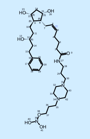 O=C(CCC/C=C\C[C@@H]1[C@@H](CC[C@@H](O)CCc2ccccc2)[C@H](O)C[C@@H]1O)NCCCN1CCN(CCCON(O)O)CC1